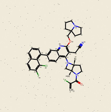 C=C(F)C(=O)N1CC[C@@H]2[C@H]1CN2c1c(CC#N)c(OCC23CCCN2CCC3)nc2cc(-c3cccc4ccc(F)c(Cl)c34)ccc12